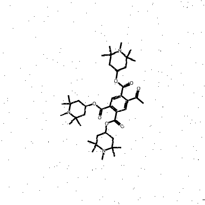 CC(=O)c1cc(C(=O)OC2CC(C)(C)N(C)C(C)(C)C2)c(C(=O)OC2CC(C)(C)N(C)C(C)(C)C2)cc1C(=O)OC1CC(C)(C)N(C)C(C)(C)C1